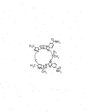 CCn1nc(C)c2c1C(=O)Nc1nc3cc(C(N)=O)ccc3n1CCC(C)(C)CCn1c(nc3cc(C(N)=O)ccc31)NC(=O)c1cc(C)nn1CCCCC2